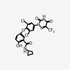 O=C(NC1CCC1)c1cc(Oc2c(Cl)cc(-n3nc(C(F)(F)F)c(=O)[nH]c3=O)cc2Cl)ccc1O